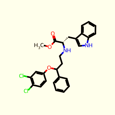 COC(=O)[C@H](Cc1c[nH]c2ccccc12)NCCC(Oc1ccc(Cl)c(Cl)c1)c1ccccc1